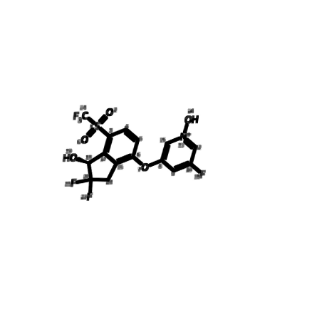 O=S(=O)(c1ccc(Oc2cc(F)c[n+](O)c2)c2c1[C@H](O)C(F)(F)C2)C(F)(F)F